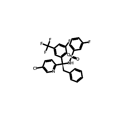 O=S(=O)(N[C@@](Cc1ccccc1)(c1cc(F)cc(C(F)(F)F)c1)c1ccc(Cl)cn1)c1cccc(F)c1